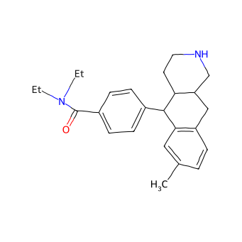 CCN(CC)C(=O)c1ccc(C2c3cc(C)ccc3CC3CNCCC32)cc1